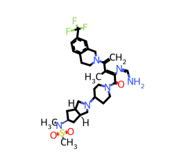 C=C(/C(C)=C(\N=C/N)C(=O)N1CCC(N2C[C@H]3C[C@@H](N(C)S(C)(=O)=O)C[C@H]3C2)CC1)N1CCc2ccc(C(F)(F)F)cc2C1